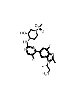 Cc1nc2c(F)cc(-c3nc(N[C@@H]4CCN(S(C)(=O)=O)C[C@H]4O)ncc3Cl)cc2n1[C@@H](C)CN